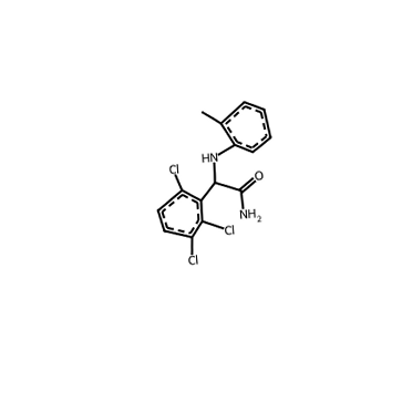 Cc1ccccc1NC(C(N)=O)c1c(Cl)ccc(Cl)c1Cl